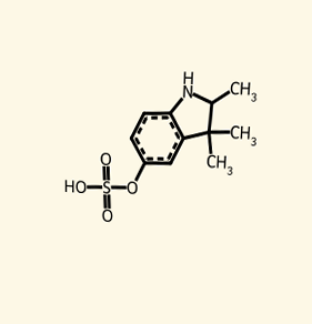 CC1Nc2ccc(OS(=O)(=O)O)cc2C1(C)C